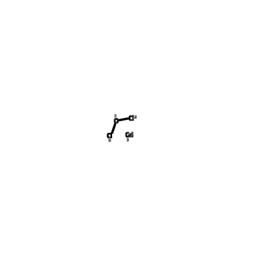 ClOCl.[Gd]